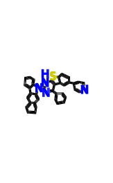 C1=CC2SC3=C(C(c4ccccc4)=NC(n4c5ccccc5c5cc6ccccc6cc54)N3)C2C=C1c1ccncc1